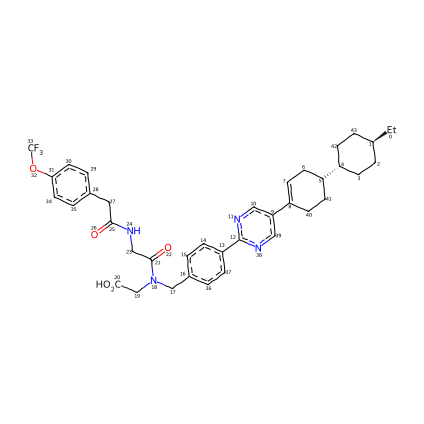 CC[C@H]1CC[C@H](C2CC=C(c3cnc(-c4ccc(CN(CC(=O)O)C(=O)CNC(=O)Cc5ccc(OC(F)(F)F)cc5)cc4)nc3)CC2)CC1